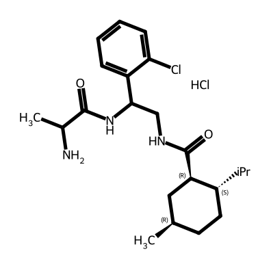 CC(N)C(=O)NC(CNC(=O)[C@@H]1C[C@H](C)CC[C@H]1C(C)C)c1ccccc1Cl.Cl